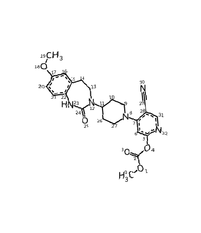 COC(=O)Oc1cc(N2CCC(N3CCc4cc(OC)ccc4NC3=O)CC2)c(C#N)cn1